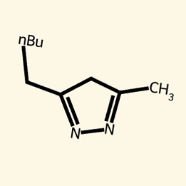 CCCCCC1=NN=C(C)C1